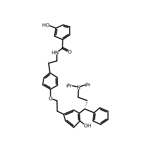 CC(C)N(CC[C@H](c1ccccc1)c1cc(CCOc2ccc(CCNC(=O)c3cccc(O)c3)cc2)ccc1O)C(C)C